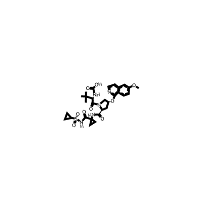 COc1ccc2c(O[C@@H]3C[C@@H](C(=O)NC4(C(=O)NS(=O)(=O)C5CC5)CC4)N(C(=O)[C@@H](NC(=O)O)C(C)(C)C)C3)nccc2c1